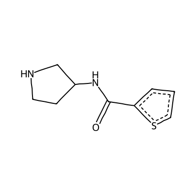 O=C(NC1CCNC1)c1cccs1